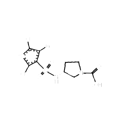 O=C(O)N1CC[C@@H](NS(=O)(=O)c2c(Cl)sc(Cl)c2Br)C1